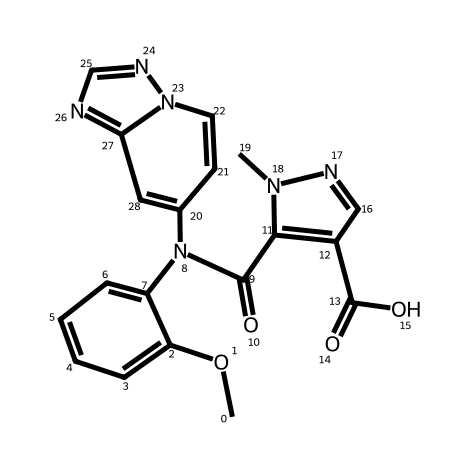 COc1ccccc1N(C(=O)c1c(C(=O)O)cnn1C)c1ccn2ncnc2c1